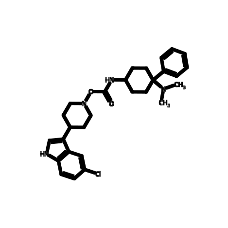 CN(C)C1(c2ccccc2)CCC(NC(=O)ON2CCC(c3c[nH]c4ccc(Cl)cc34)CC2)CC1